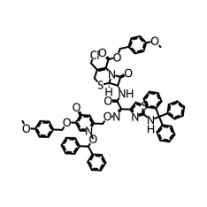 COc1ccc(COC(=O)C2=C(CCl)CS[C@@H]3[C@H](NC(=O)/C(=N\OCc4cc(=O)c(OCc5ccc(OC)cc5)cn4OC(c4ccccc4)c4ccccc4)c4csc(NC(c5ccccc5)(c5ccccc5)c5ccccc5)n4)C(=O)N23)cc1